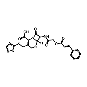 O=C(COC(=O)C=Cc1ccccc1)NC1C(=O)N2C(C(=O)O)=C(CSc3nncs3)CS[C@@H]12